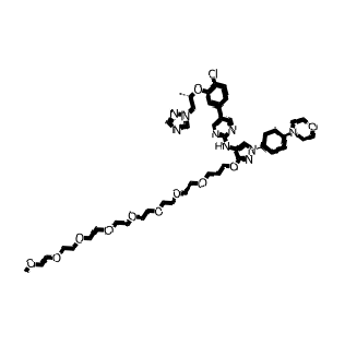 COCCOCCOCCOCCOCCOCCOCCOCCCOc1nn([C@H]2CC[C@H](N3CCOCC3)CC2)cc1Nc1ncc(-c2ccc(Cl)c(O[C@@H](C)Cn3cncn3)c2)cn1